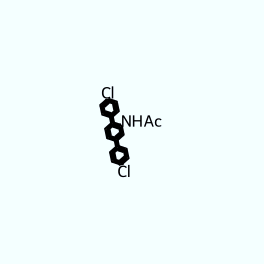 CC(=O)Nc1cc(-c2ccc(Cl)cc2)ccc1-c1ccc(Cl)cc1